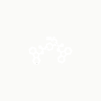 O=C(O)CN(C(=O)OC1c2ccccc2-c2ccccc21)C1CCN(C(=O)OC2c3ccccc3-c3ccccc32)CC1